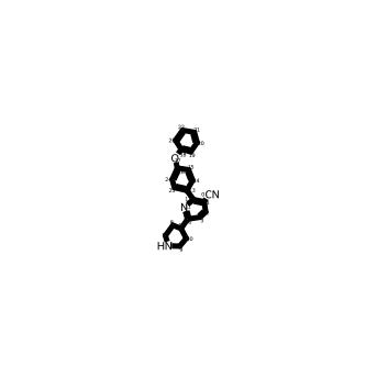 N#Cc1ccc(C2CCNCC2)nc1-c1ccc(Oc2ccccc2)cc1